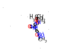 CCNC(=O)Nc1ccc(-c2nc3c(c(N4CCOCC4)n2)CCN(C(=O)OC(C)(C)C)[C@H]3CC#N)cc1